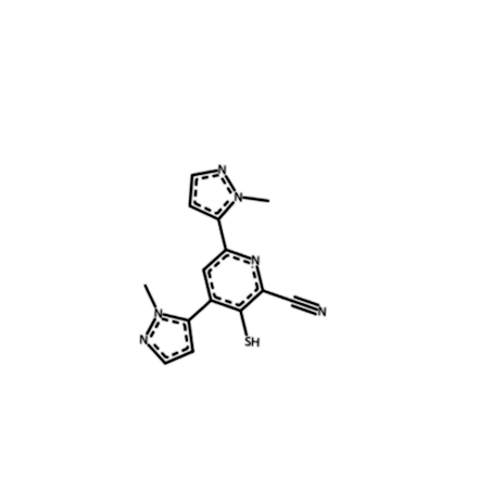 Cn1nccc1-c1cc(-c2ccnn2C)c(S)c(C#N)n1